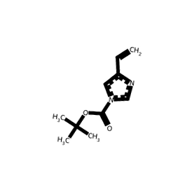 C=Cc1cn(C(=O)OC(C)(C)C)cn1